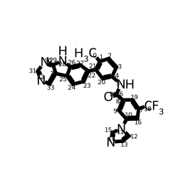 Cc1ccc(NC(=O)c2cc(-n3ccnc3)cc(C(F)(F)F)c2)cc1-c1ccc2c(c1)[nH]c1ncncc12